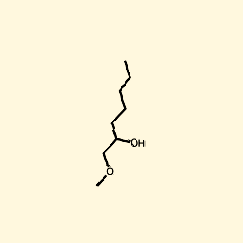 CCCCCC(O)COC